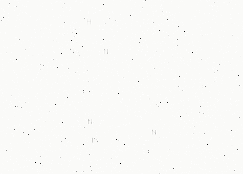 c1cc(-c2n[nH]c3ccnc(OC4CCOCC4)c23)cc(N2[C@@H]3CC[C@H]2COC3)n1